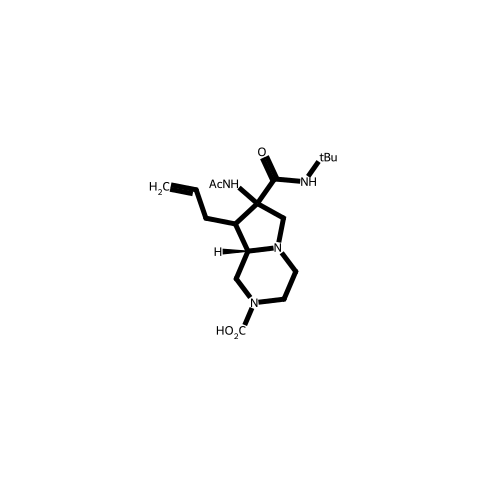 C=CCC1[C@H]2CN(C(=O)O)CCN2CC1(NC(C)=O)C(=O)NC(C)(C)C